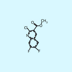 COC(=O)c1cc2cc(F)c(F)cc2nc1Cl